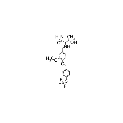 COc1cc(CNC(C(N)=O)C(C)O)ccc1OCc1ccc(SC(F)(F)F)cc1